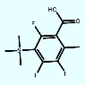 Cc1c(F)c(F)c([Si](C)(C)C)c(F)c1C(=O)O